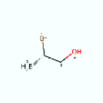 B[C@H](Br)CO